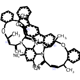 C=C1/C=C\C(C)c2ccccc2O/C(C)=C/C(=C)N1c1c(C#N)cc(C#N)c(N2C(=C)/C=C\C(C)c3ccccc3O/C(C)=C/C2=C)c1-n1c2ccccc2c2cc3c(cc21)oc1ccccc13